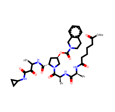 CCCC(NC(=O)[C@@H]1C[C@@H](OC(=O)N2CCc3ccccc3C2)CN1C(=O)[C@@H](NC(=O)[C@@H](NC(=O)CCCCC(=O)OC)C(C)C)C(C)C)C(=O)C(=O)NC1CC1